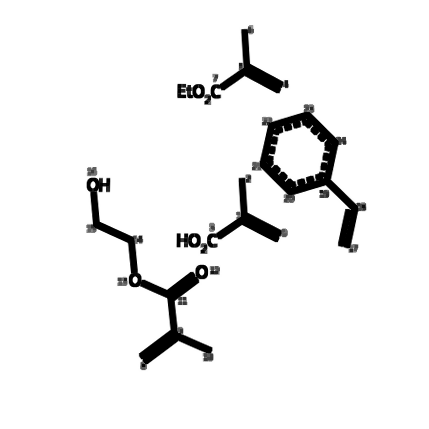 C=C(C)C(=O)O.C=C(C)C(=O)OCC.C=C(C)C(=O)OCCO.C=Cc1ccccc1